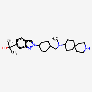 CN(CC1CCC(n2cc3ccc(C(C)(C)O)cc3n2)CC1)C1CCC2(CCNCC2)CC1